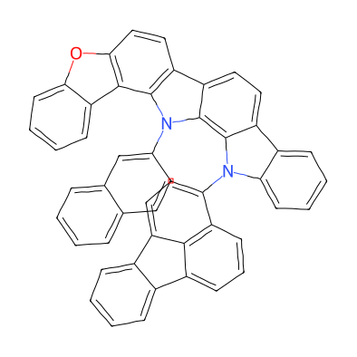 c1ccc2c(c1)-c1cccc3c(-n4c5ccccc5c5ccc6c7ccc8oc9ccccc9c8c7n(-c7ccc8ccccc8c7)c6c54)ccc-2c13